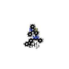 CC1(C)c2ccccc2-c2ccc(-c3cc(-c4ccccc4)nc(-c4ccc5sc6c7ccccc7nc(-c7ccccc7)c6c5c4)n3)cc21